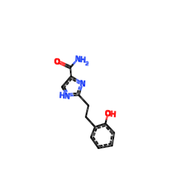 NC(=O)c1c[nH]c(CCc2ccccc2O)n1